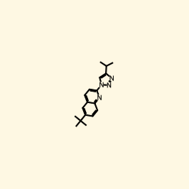 CC(C)c1cn(-c2ccc3cc(C(C)(C)C)ccc3n2)nn1